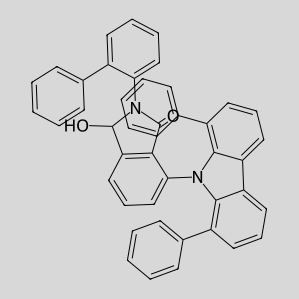 O=C1c2c(cccc2-n2c3c(-c4ccccc4)cccc3c3cccc(-c4ccccc4)c32)C(O)N1c1ccccc1-c1ccccc1